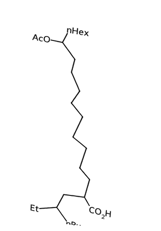 CCCCCCC(CCCCCCCCCC(CC(CC)CCCC)C(=O)O)OC(C)=O